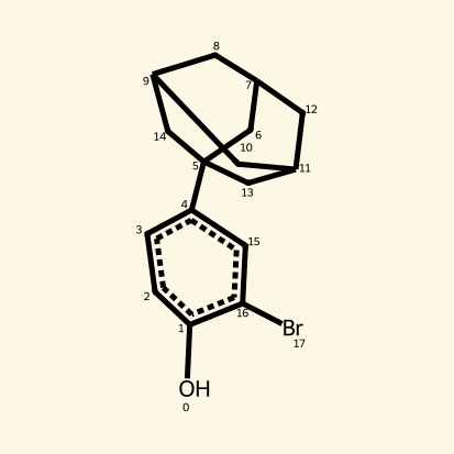 Oc1ccc(C23CC4CC(CC(C4)C2)C3)cc1Br